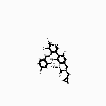 CC(C)(C)OC(=O)N(Cc1cc(F)c(-c2c[nH]c(=O)c(Cl)c2OCc2ccc(F)cc2F)c(F)c1)CC1CC1